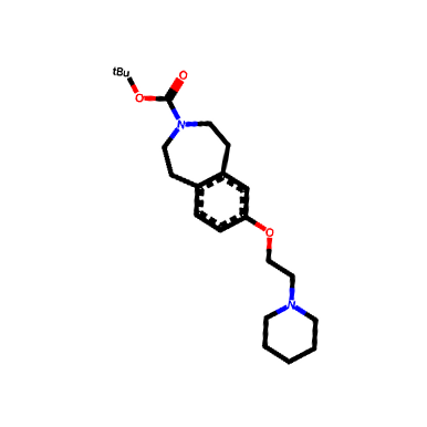 CC(C)(C)OC(=O)N1CCc2ccc(OCCN3CCCCC3)cc2CC1